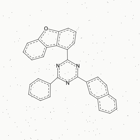 c1ccc(-c2nc(-c3ccc4ccccc4c3)nc(-c3cccc4oc5ccccc5c34)n2)cc1